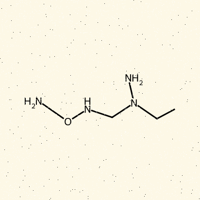 CCN(N)CNON